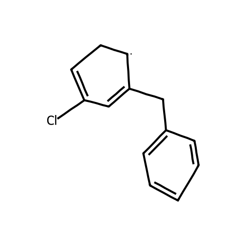 ClC1=CC[CH]C(Cc2ccccc2)=C1